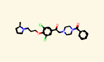 CC1CCCN1CCCOc1c(Cl)cc(C(=O)CN2CCN(C(=O)c3ccccc3)CC2)cc1Cl